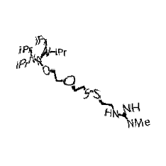 CNC(=N)NCCSSCCOCCOP(N(C(C)C)C(C)C)N(C(C)C)C(C)C